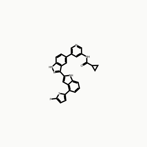 O=C(Nc1cncc(-c2ccc3[nH]nc(-c4cc5c(-c6ccc(F)s6)cccc5[nH]4)c3c2)c1)C1CC1